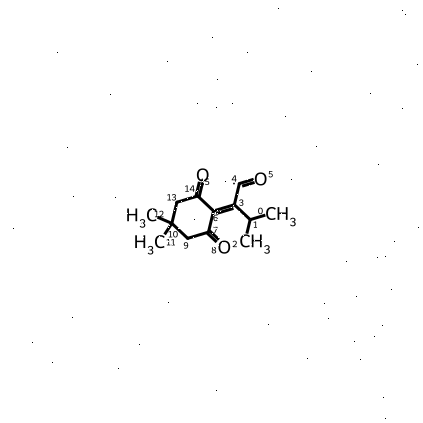 CC(C)C([C]=O)=C1C(=O)CC(C)(C)CC1=O